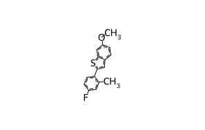 COc1ccc2cc(-c3ccc(F)cc3C)sc2c1